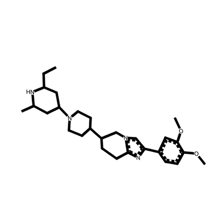 CCC1CC(N2CCC(C3CCc4nc(-c5ccc(OC)c(OC)c5)cn4C3)CC2)CC(C)N1